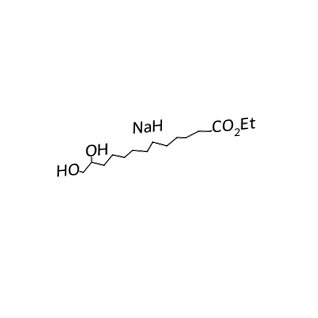 CCOC(=O)CCCCCCCCCCCC(O)CO.[NaH]